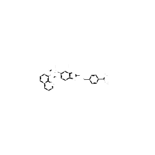 Cl.N=C(N)c1ccc(CSc2nc3ccc(NS(=O)(=O)c4cccc5cccnc45)cc3s2)cc1